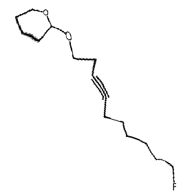 FCCCCCCC#CCCOC1CCCCO1